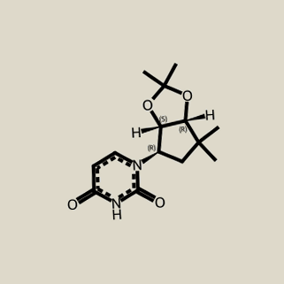 CC1(C)O[C@H]2[C@H](n3ccc(=O)[nH]c3=O)CC(C)(C)[C@H]2O1